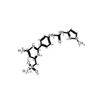 Cn1ccc(NC(=O)Nc2ccc(-c3nc(N)cc(CS(C)(=O)=O)n3)cc2)n1